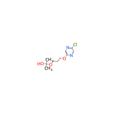 CC(C)(O)OCCCOc1cnc(Cl)cn1